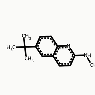 CNc1ccc2cc(C(C)(C)C)ccc2n1